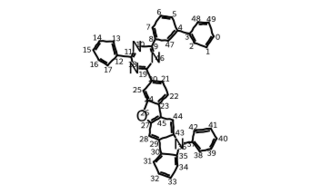 c1ccc(-c2cccc(-c3nc(-c4ccccc4)nc(-c4ccc5c(c4)oc4cc6c7ccccc7n(-c7ccccc7)c6cc45)n3)c2)cc1